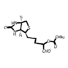 CC(C)COC(=O)OC(C=O)CCC[C@@H]1SC[C@@H]2NC(=O)N[C@@H]21